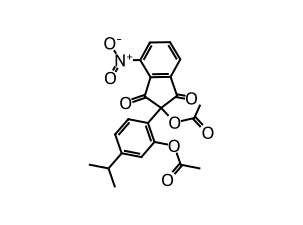 CC(=O)Oc1cc(C(C)C)ccc1C1(OC(C)=O)C(=O)c2cccc([N+](=O)[O-])c2C1=O